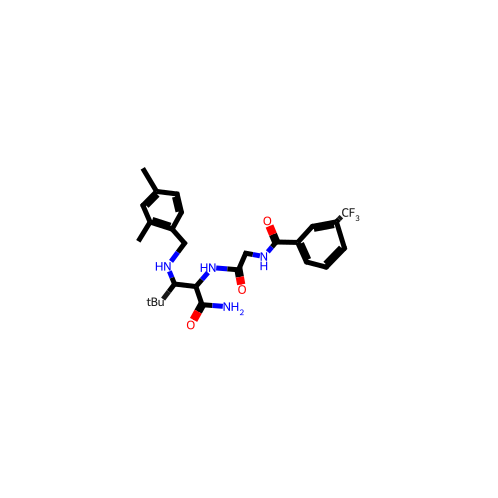 Cc1ccc(CNC(C(NC(=O)CNC(=O)c2cccc(C(F)(F)F)c2)C(N)=O)C(C)(C)C)c(C)c1